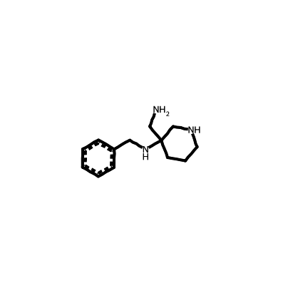 NCC1(NCc2ccccc2)CCCNC1